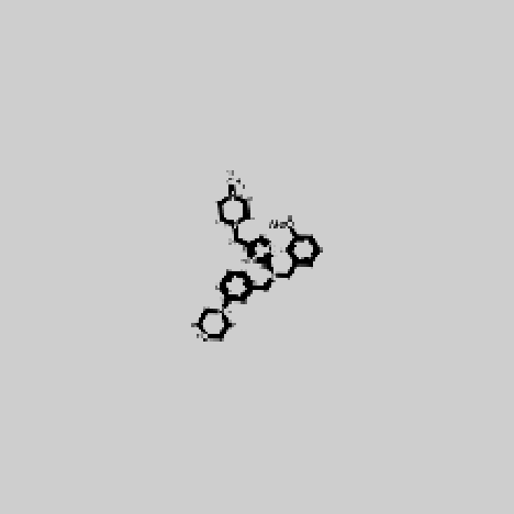 COc1cccc(CN(Cc2cccc(N3CCOCC3)c2)c2nc(CN3CCN(C)CC3)co2)c1